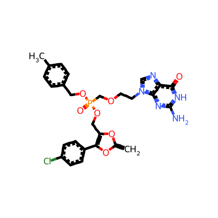 C=C1OC(COP(=O)(COCCn2cnc3c(=O)[nH]c(N)nc32)OCc2ccc(C)cc2)=C(c2ccc(Cl)cc2)O1